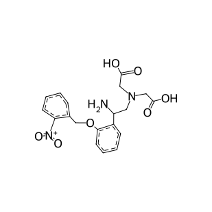 NC(CN(CC(=O)O)CC(=O)O)c1ccccc1OCc1ccccc1[N+](=O)[O-]